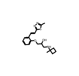 Cc1nnc(C=Cc2ccccc2OCC(O)CNC2(C)CCC2)s1